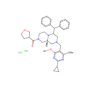 COc1nc(C2CC2)nc(OC(C)C)c1CN1CC(C(c2ccccc2)c2ccccc2)N2CCN(C(=O)C3CCOC3)C[C@H]2C1.Cl.Cl